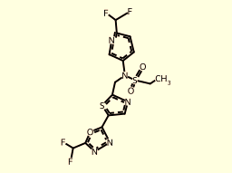 CCS(=O)(=O)N(Cc1ncc(-c2nnc(C(F)F)o2)s1)c1ccc(C(F)F)nc1